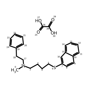 CN(CCCCSc1ccc2ccccc2c1)CCc1ccccc1.O=C(O)C(=O)O